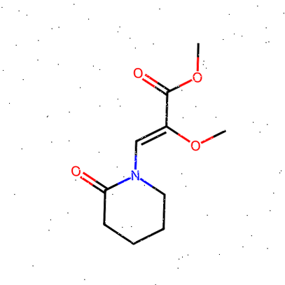 COC(=O)/C(=C/N1CCCCC1=O)OC